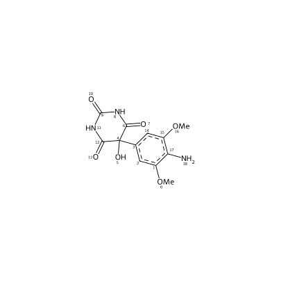 COc1cc(C2(O)C(=O)NC(=O)NC2=O)cc(OC)c1N